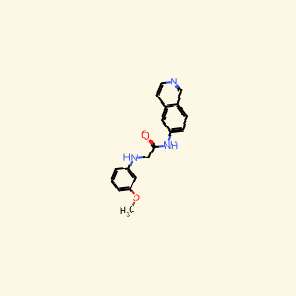 COc1cccc(NCC(=O)Nc2ccc3cnccc3c2)c1